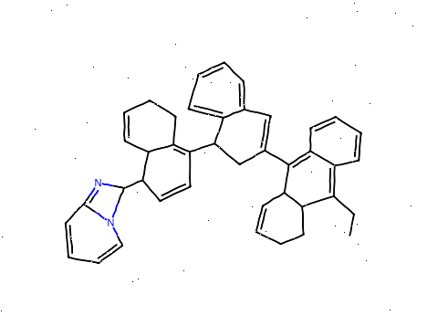 CCC1=c2ccccc2=C(C2=Cc3ccccc3C(C3=C4CCC=CC4C(C4N=C5C=CC=CN54)C=C3)C2)C2C=CCCC12